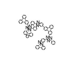 c1ccc(-c2nc(-c3ccc4c5ccccc5c5cc(-c6ccc7nc8c9ccccc9c9c(-c%10nc(-c%11ccc%12c%13ccccc%13c%13ccccc%13c%12c%11)nc(-c%11cccc%12oc%13ccccc%13c%11%12)n%10)cccc9n8c7c6)ccc5c4c3)nc(-c3ccc4nc5c6ccccc6c6ccccc6n5c4c3)n2)cc1